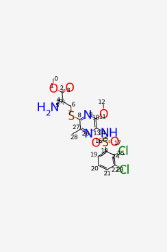 COC(=O)[C@@H](N)CSc1nc(OC)c(NS(=O)(=O)c2cccc(Cl)c2Cl)nc1C